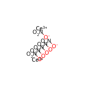 O=[N+]([O-])[O-].O=[N+]([O-])[O-].O=[N+]([O-])[O-].O=[N+]([O-])[O-].O=[N+]([O-])[O-].O=[N+]([O-])[O-].[Ce+3].[Ce+3]